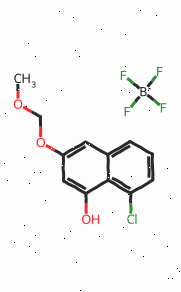 COCOc1cc(O)c2c(Cl)cccc2c1.F[B-](F)(F)F